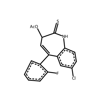 CC(=O)OC1C=C(c2ccccc2F)c2cc(Cl)ccc2NC1=S